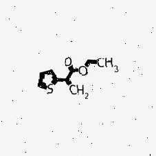 C=C(C(=O)OCC)c1cccs1